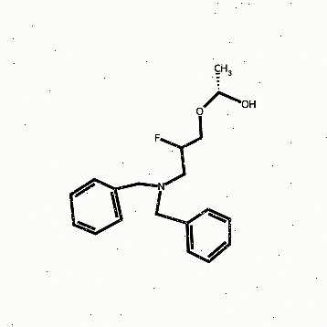 C[C@H](O)OCC(F)CN(Cc1ccccc1)Cc1ccccc1